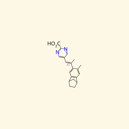 C/C(=C\c1cnc(C(=O)O)nc1)c1cc2c(cc1C)C1CCC2C1